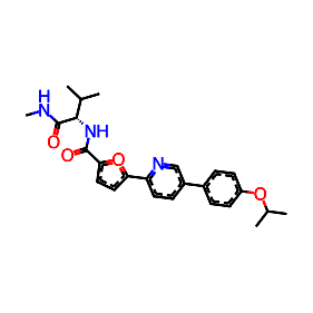 CNC(=O)[C@@H](NC(=O)c1ccc(-c2ccc(-c3ccc(OC(C)C)cc3)cn2)o1)C(C)C